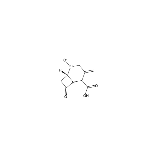 C=C1C[S+]([O-])[C@H]2CC(=O)N2C1C(=O)O